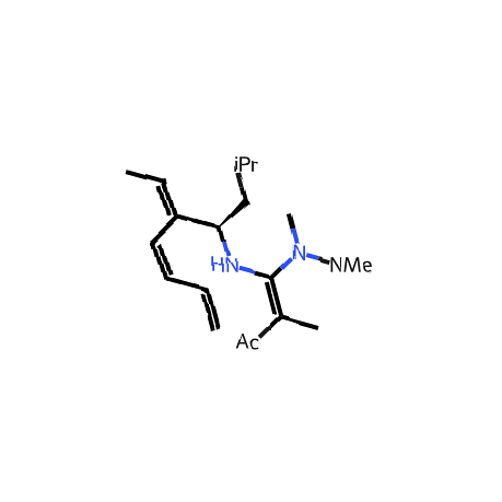 C=C/C=C\C(=C/C)[C@@H](CC(C)C)N/C(=C(/C)C(C)=O)N(C)NC